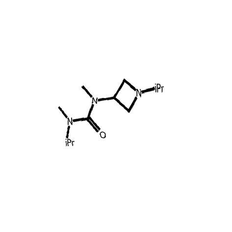 CC(C)N1CC(N(C)C(=O)N(C)C(C)C)C1